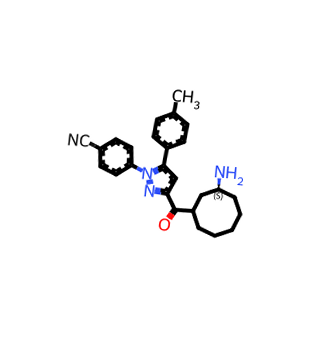 Cc1ccc(-c2cc(C(=O)C3CCCCC[C@H](N)C3)nn2-c2ccc(C#N)cc2)cc1